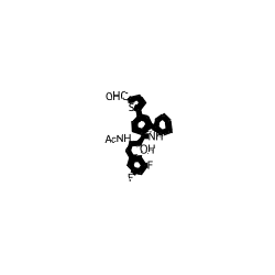 CC(=O)N[C@@H](Cc1cc(F)cc(F)c1)[C@@H](O)CNC1(c2cccc(-c3ccc(C=O)s3)c2)CCCCC1